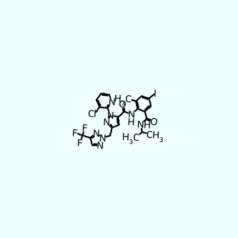 Cc1cc(I)cc(C(=O)NC(C)C)c1NC(=O)c1cc(Cn2ncc(C(F)(F)F)n2)nn1-c1ncccc1Cl